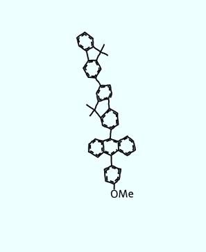 COc1ccc(-c2c3ccccc3c(-c3ccc4c(c3)C(C)(C)c3cc(-c5ccc6c(c5)C(C)(C)c5ccccc5-6)ccc3-4)c3ccccc23)cc1